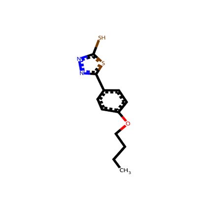 CCCCOc1ccc(-c2nnc(S)s2)cc1